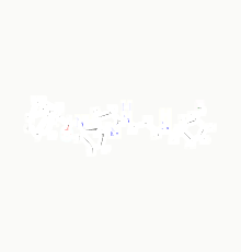 O=C(CC12CC3CC(CC(C3)C1)C2)Nc1cccc2nc(NCCCNCc3cccc(F)c3)ccc12